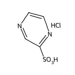 Cl.O=S(=O)(O)c1cnccn1